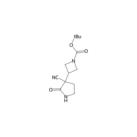 CC(C)(C)OC(=O)N1CC(C2(C#N)CCNC2=O)C1